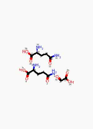 NC(=O)CCC(N)C(=O)O.NC(=O)CC[C@H](N)C(=O)O.O=CC(=O)O